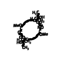 C/C=C/[C@H](O)C(C)(C)[C@@H]1C\C=C/C=C\C=C\[C@H](OC)Cc2nc(co2)C(=O)O[C@H](C(C)(C)[C@@H](O)/C=C/C)C\C=C/C=C\C=C\[C@H](OC)Cc2cc(co2)C(=O)O1